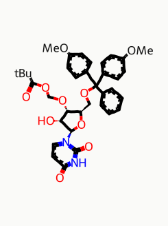 COc1ccc(C(OC[C@H]2O[C@@H](n3ccc(=O)[nH]c3=O)[C@H](O)[C@@H]2OCOC(=O)C(C)(C)C)(c2ccccc2)c2ccc(OC)cc2)cc1